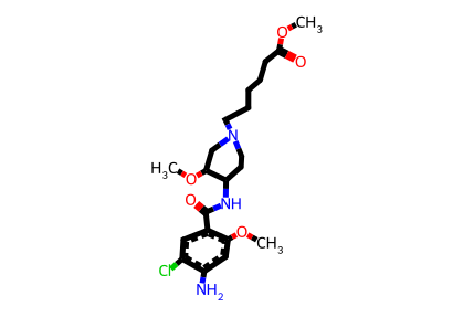 COC(=O)CCCCCN1CCC(NC(=O)c2cc(Cl)c(N)cc2OC)C(OC)C1